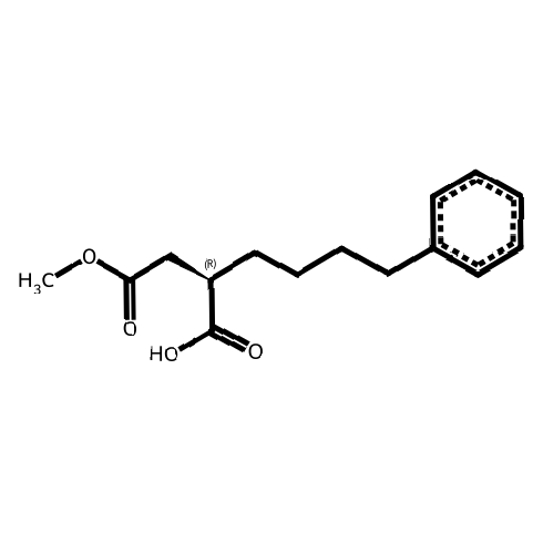 COC(=O)C[C@@H](CCCCc1ccccc1)C(=O)O